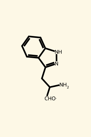 NC([C]=O)Cc1n[nH]c2ccccc12